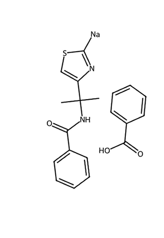 CC(C)(NC(=O)c1ccccc1)c1cs[c]([Na])n1.O=C(O)c1ccccc1